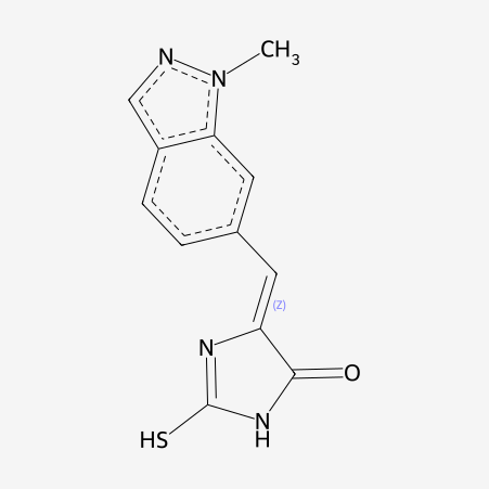 Cn1ncc2ccc(/C=C3\N=C(S)NC3=O)cc21